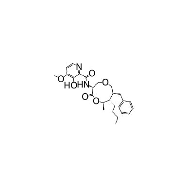 CCCC[C@H]1[C@H](Cc2ccccc2)COC[C@H](NC(=O)c2nccc(OC)c2O)C(=O)O[C@@H]1C